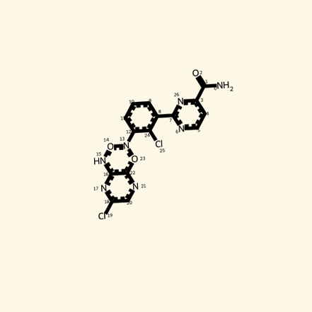 NC(=O)c1ccnc(-c2cccc(-n3o[nH]c4nc(Cl)cnc4o3)c2Cl)n1